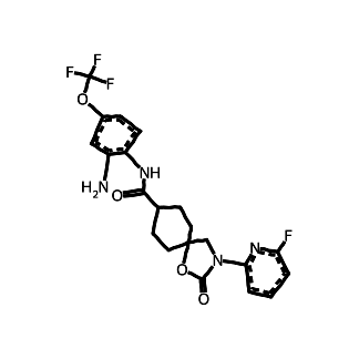 Nc1cc(OC(F)(F)F)ccc1NC(=O)C1CCC2(CC1)CN(c1cccc(F)n1)C(=O)O2